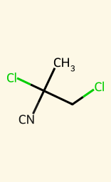 [C-]#[N+]C(C)(Cl)CCl